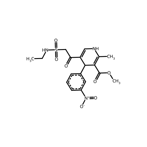 CCNS(=O)(=O)CC(=O)C1=CNC(C)=C(C(=O)OC)C1c1cccc([N+](=O)[O-])c1